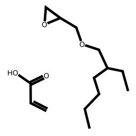 C=CC(=O)O.CCCCC(CC)COCC1CO1